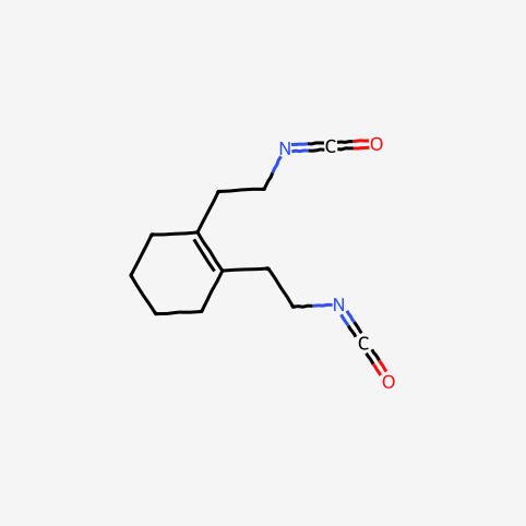 O=C=NCCC1=C(CCN=C=O)CCCC1